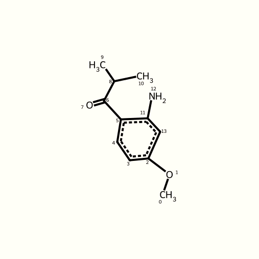 COc1ccc(C(=O)C(C)C)c(N)c1